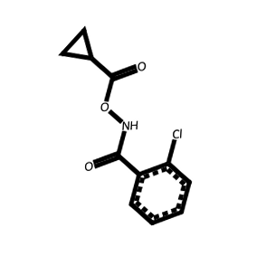 O=C(NOC(=O)C1CC1)c1ccccc1Cl